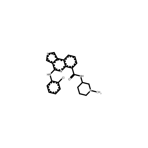 CN1CCCC(NC(=O)c2cccc3c2nc(Nc2ccccc2Cl)c2cscc23)C1